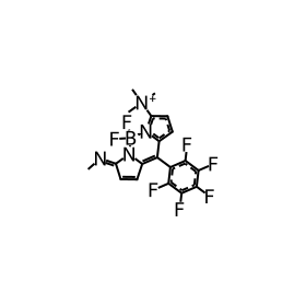 CN=C1C=CC2=C(c3c(F)c(F)c(F)c(F)c3F)c3ccc([N+](C)(C)C)n3[B-](F)(F)N12